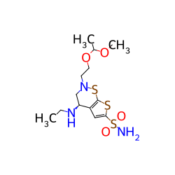 CCN[C@H]1CN(CCOC(C)OC)Sc2sc(S(N)(=O)=O)cc21